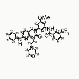 COc1cc(NC(=O)c2cccc(C(F)(F)F)c2)cc(N2Cc3cnc(Nc4ccccc4)nc3N(CCN3CCOCC3)C2=O)c1